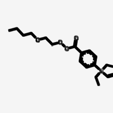 C=C[Si](CC)(CC)c1ccc(C(=O)OO[CH]COCCCC)cc1